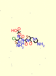 CC(C)(O/N=C(\C(=O)NC1C(=O)N2C(C=O)=C(C[n+]3ccc(N)cc3)CSC12)c1nc(N)sc1Cl)C(=O)O